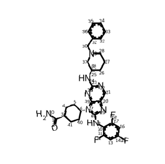 NC(=O)[C@H]1CC[C@H](n2c(Nc3c(F)cc(F)cc3F)nc3cnc(N[C@@H]4CCCN(Cc5ccccc5)C4)nc32)CC1